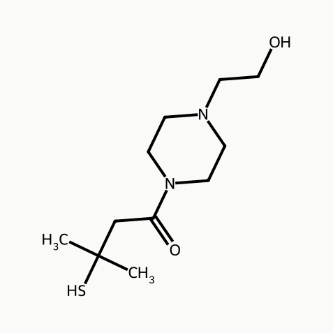 CC(C)(S)CC(=O)N1CCN(CCO)CC1